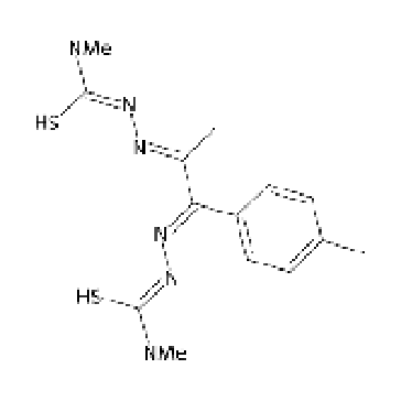 CN/C(S)=N/N=C(C)/C(=N/N=C(\S)NC)c1ccc(C)cc1